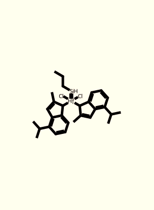 CCC[SiH]=[Hf]([Cl])([Cl])([CH]1C(C)=Cc2c(C(C)C)cccc21)[CH]1C(C)=Cc2c(C(C)C)cccc21